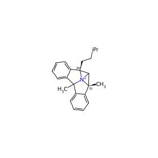 CC(C)CC[C@@]12c3ccccc3C3(C)c4ccccc4[C@@]4(C)C1[N+]342